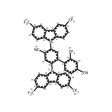 N#Cc1ccc(-c2cc(-n3c4ccc(C(F)(F)F)cc4c4cc(C(F)(F)F)ccc43)c(C#N)cc2-n2c3ccc(C(F)(F)F)cc3c3cc(C(F)(F)F)ccc32)c(C(F)(F)F)c1